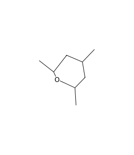 CC1CC(C)OC(C)C1